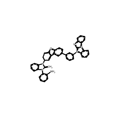 C=C1N(c2ccccc2N)c2ccccc2N1C1C=c2c(oc3ccc(-c4cccc(-n5c6ccccc6n6c7ccccc7nc56)c4)cc23)=CC1